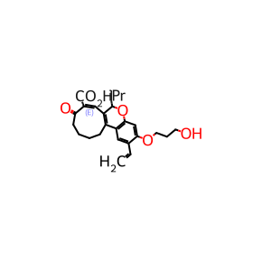 C=Cc1cc2c(cc1OCCCO)OC(C(C)C)C1=C2CCCCC(=O)/C(C(=O)O)=C\1